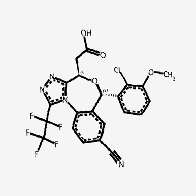 COc1cccc([C@H]2O[C@H](CC(=O)O)c3nnc(C(F)(F)C(F)(F)F)n3-c3ccc(C#N)cc32)c1Cl